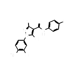 Cc1nn(-c2ccc(C#N)c(Cl)c2)c(C)c1C(=O)Nc1ccc(F)cc1